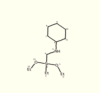 CCO[Si](CC)(CNC1CCCCC1)OCC